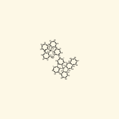 c1ccc(C2(c3ccc(-c4cccc5c4Oc4ccccc4C5(c4ccccc4)c4ccccc4)cc3)c3ccccc3-c3cc4ccccc4cc32)cc1